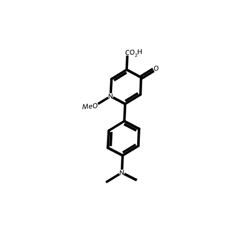 COn1cc(C(=O)O)c(=O)cc1-c1ccc(N(C)C)cc1